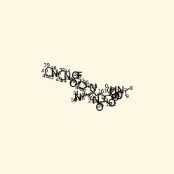 CC[C@@]1(OC(=O)NC(C)C)C(=O)OCc2c1cc1n(c2=O)Cc2c-1nc1cc(F)c(OC(=O)N3CCC(N4CCCCC4)CC3)cc1c2CN(C)C